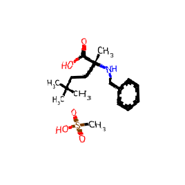 CC(C)(C)CC[C@@](C)(NCc1ccccc1)C(=O)O.CS(=O)(=O)O